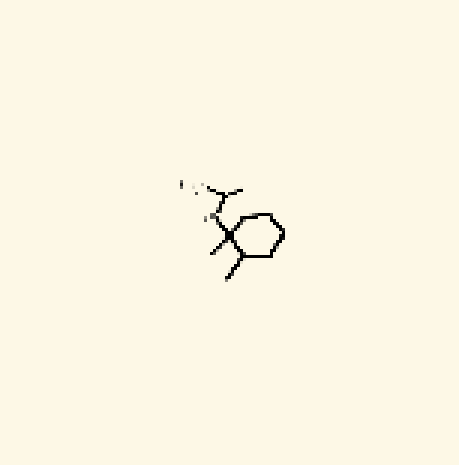 CC(NC1(C)CCCCC1C)C(=O)O